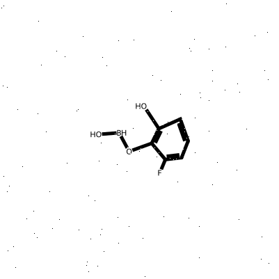 OBOc1c(O)cccc1F